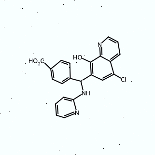 O=C(O)c1ccc(C(Nc2ccccn2)c2cc(Cl)c3cccnc3c2O)cc1